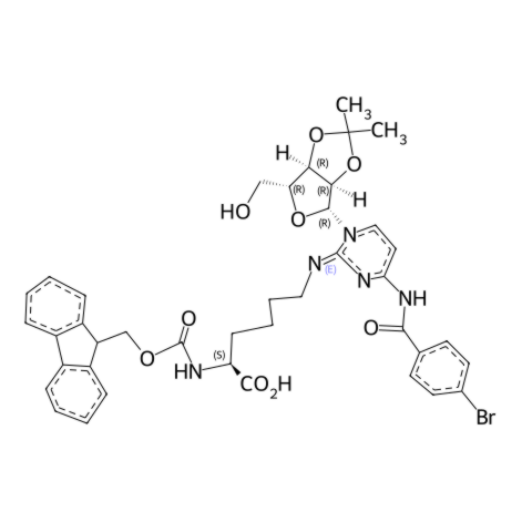 CC1(C)O[C@@H]2[C@H](O1)[C@@H](CO)O[C@H]2n1ccc(NC(=O)c2ccc(Br)cc2)n/c1=N\CCCC[C@H](NC(=O)OCC1c2ccccc2-c2ccccc21)C(=O)O